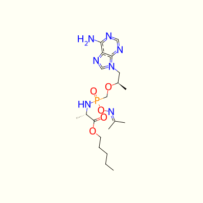 CCCCCOC(=O)[C@H](C)NP(=O)(CO[C@H](C)Cn1cnc2c(N)ncnc21)ON=C(C)C